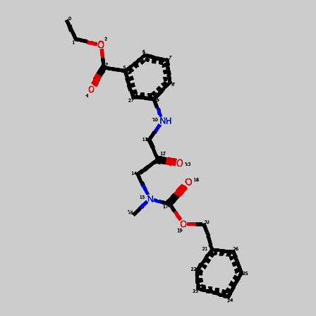 CCOC(=O)c1cccc(NCC(=O)CN(C)C(=O)OCc2ccccc2)c1